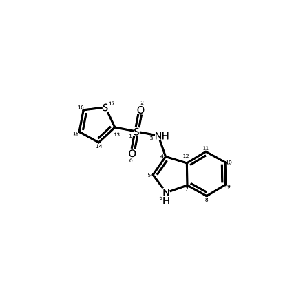 O=S(=O)(Nc1c[nH]c2c[c]ccc12)c1cccs1